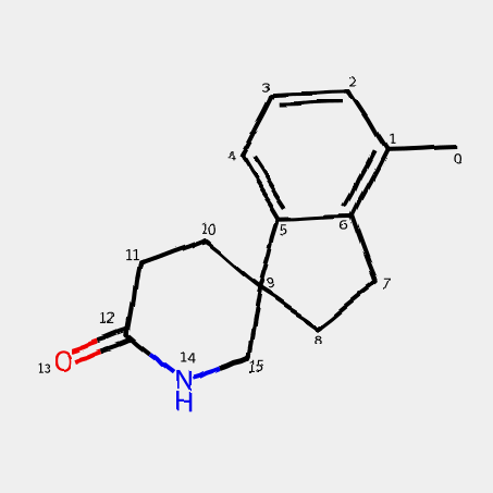 Cc1cccc2c1CCC21CCC(=O)NC1